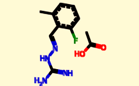 CC(=O)O.Cc1cccc(F)c1/C=N/NC(=N)N